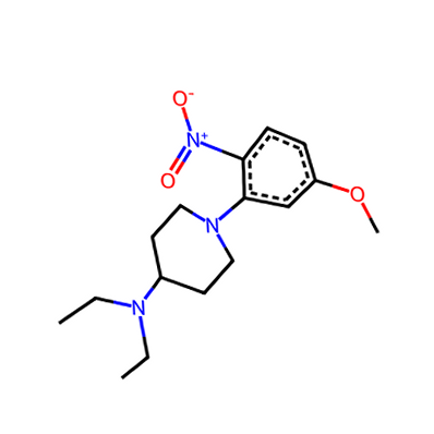 CCN(CC)C1CCN(c2cc(OC)ccc2[N+](=O)[O-])CC1